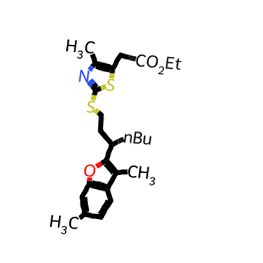 CCCCC(CCSc1nc(C)c(CC(=O)OCC)s1)c1oc2cc(C)ccc2c1C